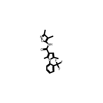 Cc1noc(NC(=O)c2cc(C)n(-c3ccccc3C(F)(F)F)c2C)c1C